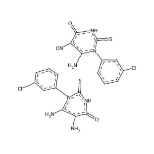 Nc1c(N)n(-c2cccc(Cl)c2)c(=S)[nH]c1=O.Nc1c(N=O)c(=O)[nH]c(=S)n1-c1cccc(Cl)c1